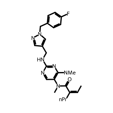 C/C=C(/CCC)C(=O)N(C)c1cnc(NCc2cnn(Cc3ccc(F)cc3)c2)nc1NC